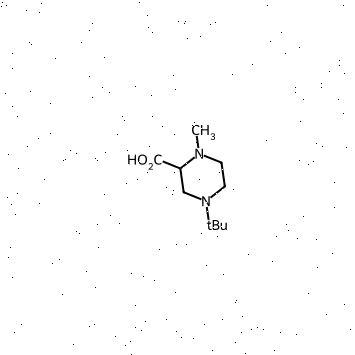 CN1CCN(C(C)(C)C)CC1C(=O)O